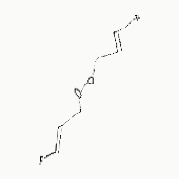 FC=CCOOCC=CF